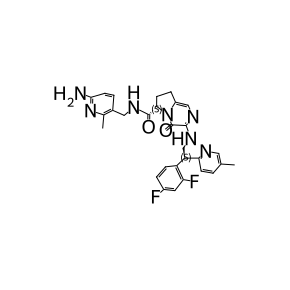 Cc1ccc([C@H](CNc2ncc3n(c2=O)[C@H](C(=O)NCc2ccc(N)nc2C)CC3)c2ccc(F)cc2F)nc1